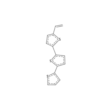 C=Cc1ccc(-c2ccc(-c3cccs3)s2)s1